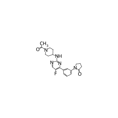 CC(=O)N1CCC(Nc2ncc(F)c(-c3cccc(N4CCCC4=O)c3)n2)CC1